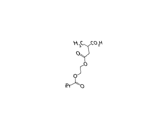 CC(C)C(=O)OCCOC(=O)CC(C)C(=O)O